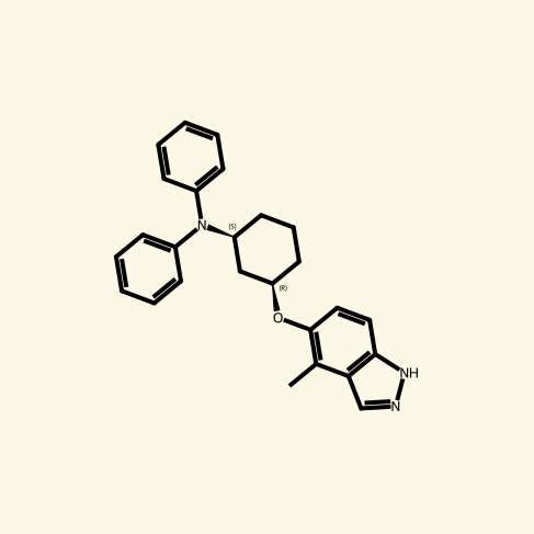 Cc1c(O[C@@H]2CCC[C@H](N(c3ccccc3)c3ccccc3)C2)ccc2[nH]ncc12